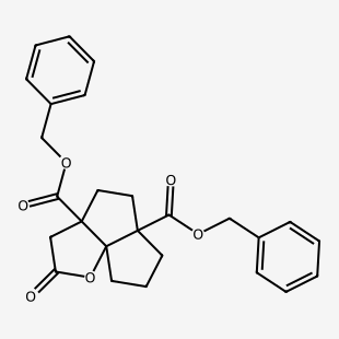 O=C1CC2(C(=O)OCc3ccccc3)CCC3(C(=O)OCc4ccccc4)CCCC32O1